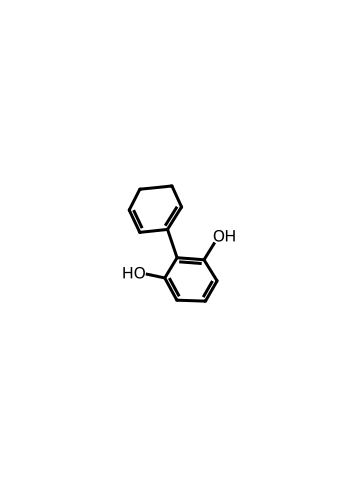 Oc1cccc(O)c1C1=CCCC=C1